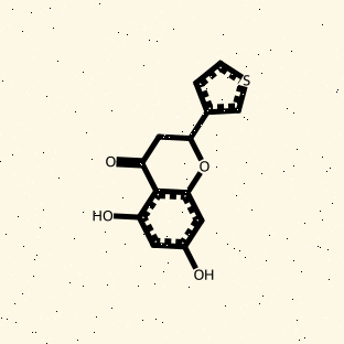 O=C1CC(c2ccsc2)Oc2cc(O)cc(O)c21